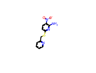 Nc1nc(SCc2ccccn2)ccc1[N+](=O)[O-]